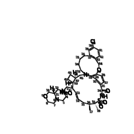 CO[C@@]1(CN2CCN3CCOC[C@@H]3C2)/C=C/C[C@H](C)[C@@H](C)S(=O)(=O)NC(=O)c2ccc3c(c2)N(CCCCc2cc(Cl)ccc2CO3)C[C@@H]2CC[C@H]21